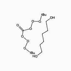 CC(C)(C)OOOC(=O)OOOC(C)(C)C.OCCCCCCO